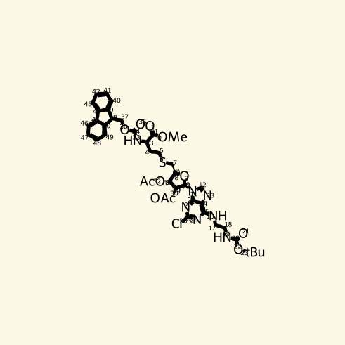 COC(=O)C(CCSC[C@H]1O[C@@H](n2cnc3c(NCCNC(=O)OC(C)(C)C)nc(Cl)nc32)[C@H](OC(C)=O)[C@@H]1OC(C)=O)NC(=O)OCC1c2ccccc2-c2ccccc21